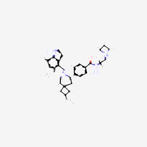 COc1cc(C)c2[nH]ccc2c1CN1CCC2(CC(C#N)C2)C[C@H]1c1ccc(C(=O)NC(C)(C)CN2CCC2)cc1